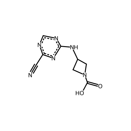 N#Cc1ncnc(NC2CN(C(=O)O)C2)n1